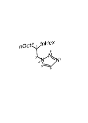 CCCCCCCCC(CCCCCC)Cn1ccnn1